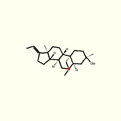 CC=C1CC[C@H]2[C@@H]3CC[C@@H]4C[C@](C)(O)CC[C@]4(COC)[C@H]3CC[C@]12C